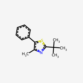 Cc1nc(C(C)(C)C)sc1-c1ccccc1